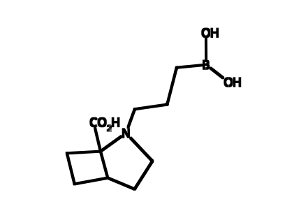 O=C(O)C12CCC1CCN2CCCB(O)O